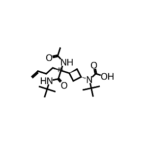 C=CCC[C@](NC(C)=O)(C(=O)NC(C)(C)C)[C@H]1C[C@H](N(C(=O)O)C(C)(C)C)C1